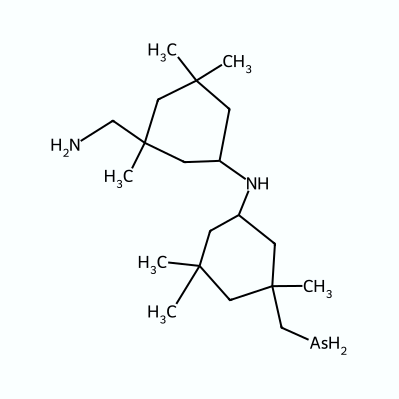 CC1(C)CC(NC2CC(C)(C)CC(C)(C[AsH2])C2)CC(C)(CN)C1